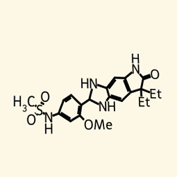 CCC1(CC)C(=O)Nc2cc3c(cc21)NC(c1ccc(NS(C)(=O)=O)cc1OC)N3